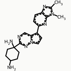 Cc1nc2ccc(-c3ccn4nc(C5(N)CCC(N)CC5)ncc34)nc2n1C